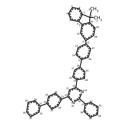 CC1(C)c2ccccc2-c2cc(-c3ccc(-c4ccc(-c5cc(-c6ccc(-c7ccccc7)cc6)nc(-c6ccccc6)n5)cc4)cc3)ccc21